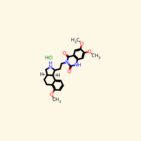 COc1cc2[nH]c(=O)n(CCC3NC[C@@H]4CCc5c(OC)cccc5[C@H]34)c(=O)c2cc1OC.Cl